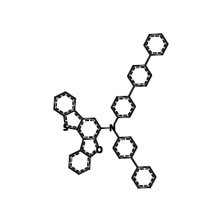 c1ccc(-c2ccc(-c3ccc(N(c4ccc(-c5ccccc5)cc4)c4cc5c6ccccc6sc5c5c4oc4ccccc45)cc3)cc2)cc1